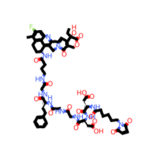 CC[C@@]1(O)C(=O)OCc2c1cc1n(c2=O)Cc2c-1nc1cc(F)c(C)c3c1c2[C@@H](NC(=O)CCCNC(=O)CNC(=O)[C@H](CCc1ccccc1)NC(=O)CNC(=O)CNC(=O)[C@H](CC(=O)O)NC(=O)[C@H](CC(=O)O)NC(=O)CCCCCN1C(=O)C=CC1=O)CC3